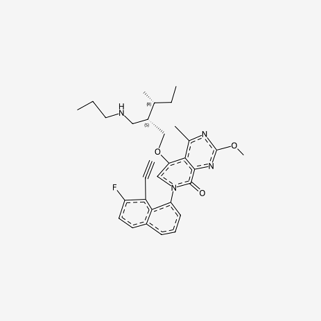 C#Cc1c(F)ccc2cccc(-n3cc(OC[C@H](CNCCC)[C@H](C)CC)c4c(C)nc(OC)nc4c3=O)c12